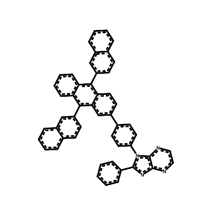 c1ccc(-c2nc3nccnc3n2-c2ccc(-c3ccc4c(-c5ccc6ccccc6c5)c5ccccc5c(-c5ccc6ccccc6c5)c4c3)cc2)cc1